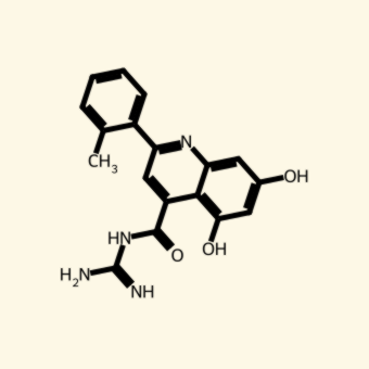 Cc1ccccc1-c1cc(C(=O)NC(=N)N)c2c(O)cc(O)cc2n1